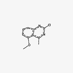 COc1cccc2nc(Cl)nc(C)c12